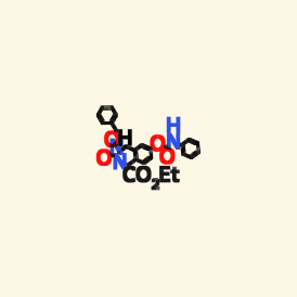 CCOC(=O)[C@H]1c2ccc(OC(=O)Nc3ccccc3)cc2[C@H]2CN1C(=O)N2OCc1ccccc1